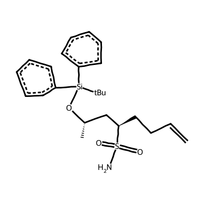 C=CCC[C@H](C[C@H](C)O[Si](c1ccccc1)(c1ccccc1)C(C)(C)C)S(N)(=O)=O